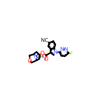 CN1C2COCC1CC(OC(=O)c1cn(-c3ccc(F)nn3)c3ccc(C#N)cc13)C2